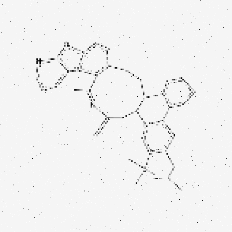 C=C1CC2C(CCc3ccc4oc5ncccc5c4c3/C(C)=N\1)c1ccccc1-c1cc(CC(C)C)c([Si](C)(C)C)c[n+]12